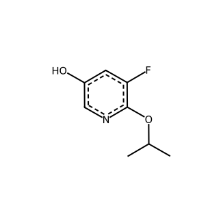 CC(C)Oc1ncc(O)cc1F